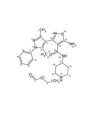 CCOC=O.Cc1nn(-c2ccccc2)c(C)c1-c1noc(N)c1C(=O)NC1CCNCC1